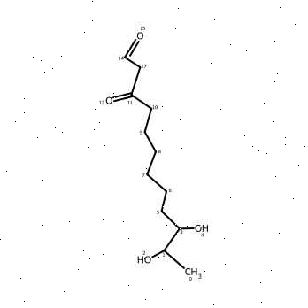 CC(O)C(O)CCCCCCC(=O)CC=O